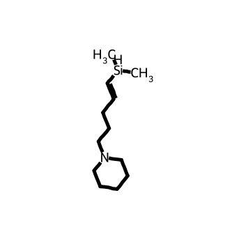 C[SiH](C)C=CCCCN1CCCCC1